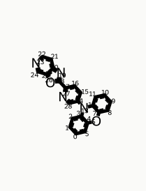 c1ccc2c(c1)Oc1ccccc1N2c1ccc(-c2nc3ccncc3o2)nc1